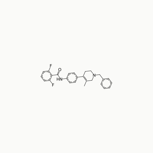 CC1=C(c2ccc(NC(=O)c3c(F)cccc3F)cc2)CCN(Cc2ccccc2)C1